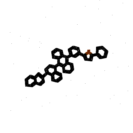 c1ccc(-c2ccc(-c3cccc(-c4c5ccccc5c(-c5ccc(-c6ccc7ccccc7c6)c6ccccc56)c5ccccc45)c3)s2)cc1